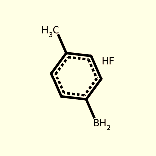 Bc1ccc(C)cc1.F